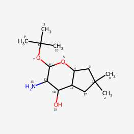 CC1(C)CC2OC(OC(C)(C)C)C(N)C(O)C2C1